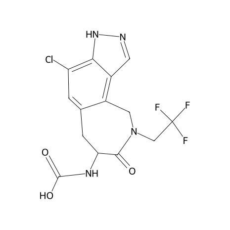 O=C(O)NC1Cc2cc(Cl)c3[nH]ncc3c2CN(CC(F)(F)F)C1=O